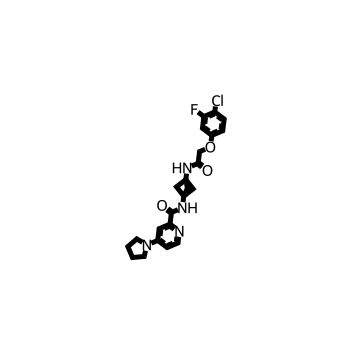 O=C(COc1ccc(Cl)c(F)c1)NC12CC(NC(=O)c3cc(N4CCCC4)ccn3)(C1)C2